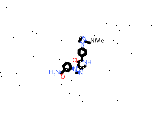 CNCc1nccn1-c1ccc(C2NCc3ncn(-c4cccc(C(N)=O)c4)c3C2=O)cc1